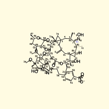 C=C1CC23C[C@@H](C)/C(=N\O)[C@H](C)[C@H]4CC4(C1)[C@](C)(O)[C@@H](CC)OC(=O)[C@H](C)[C@@H](OC1C[C@@](C)(OC)[C@@H](O)[C@H](C)O1)[C@H](C)[C@@H](O[C@@H]1O[C@H](C)C[C@H](N(C)CCc4cn(CCc5ccc([N+](=O)[O-])cc5)nn4)C1O)[C@]2(C)C3